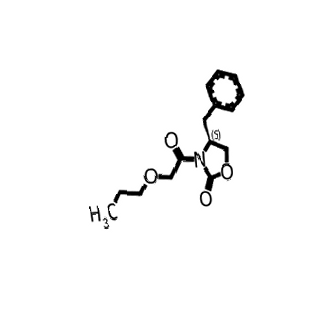 CCCOCC(=O)N1C(=O)OC[C@@H]1Cc1ccccc1